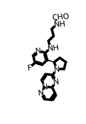 O=CNCCCNc1ncc(F)cc1[C@H]1CCCN1C1=NC2C#CC=NN2C=C1